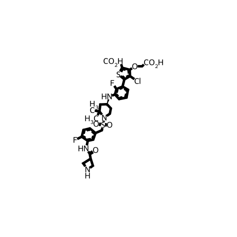 CC1(C)C[C@@H](Nc2cccc(-c3sc(C(=O)O)c(OCC(=O)O)c3Cl)c2F)CCN1S(=O)(=O)Cc1ccc(F)c(NC(=O)C2CNC2)c1